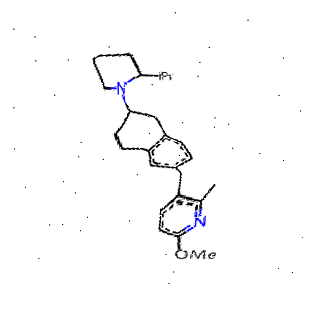 COc1ccc(-c2ccc3c(c2)CCC(N2CCCC2C(C)C)C3)c(C)n1